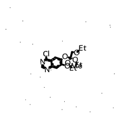 CCOCC(OCC)(OCC)Oc1cc2c(Cl)ncnc2cc1OC